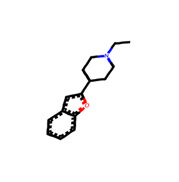 CCN1CCC(c2cc3ccccc3o2)CC1